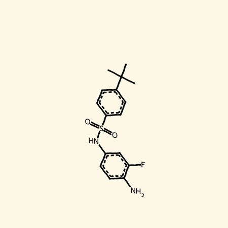 CC(C)(C)c1ccc(S(=O)(=O)Nc2ccc(N)c(F)c2)cc1